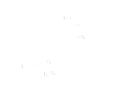 COc1ccccc1CNC(=O)CCCCc1nnc(SCc2ccccc2F)n1-c1ccccc1